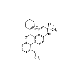 COc1cccc2c1-c1ccc3c(c1C(C1=CCCCC1)O2)C(C)=CC(C)(C)N3